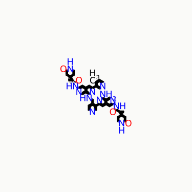 Cc1ccncc1-c1cc2cc(NC(=O)[C@@H]3C[C@]34CCNC(=O)C4)ncc2c(NCc2ccncc2-c2cc3cc(NC(=O)C4C[C@@]45CCNC(=O)C5)ncc3c(N)n2)n1